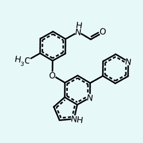 Cc1ccc(NC=O)cc1Oc1cc(-c2ccncc2)nc2[nH]ccc12